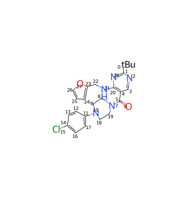 CC(C)(C)c1ncc(C(=O)N2CCN(c3ccc(Cl)cc3)CC2)c(NCc2ccco2)n1